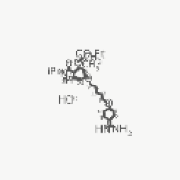 CCOC(=O)C(C)(C)Oc1cc(OCCCCCOc2ccc(C(=N)N)cc2)ccc1C(=O)N(C(C)C)C(C)C.Cl